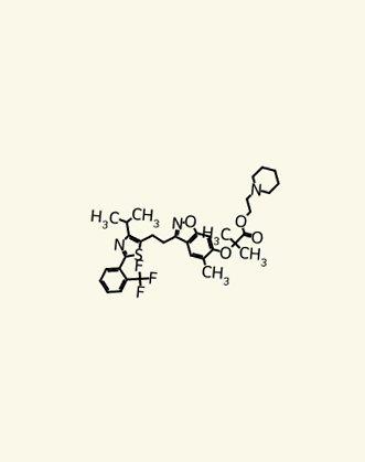 Cc1cc2c(CCc3sc(-c4ccccc4C(F)(F)F)nc3C(C)C)noc2cc1OC(C)(C)C(=O)OCCN1CCCCC1